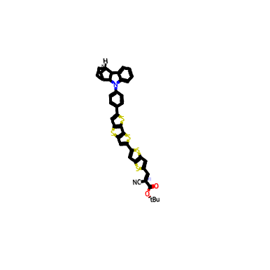 CC(C)(C)OC(=O)/C(C#N)=C/c1cc2sc(-c3cc4sc5cc(-c6ccc(N7c8ccccc8C8C7C7CC[C@H]8C7)cc6)sc5c4s3)cc2s1